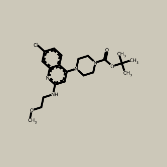 COCCNc1cc(N2CCN(C(=O)OC(C)(C)C)CC2)c2ccc(Cl)cc2n1